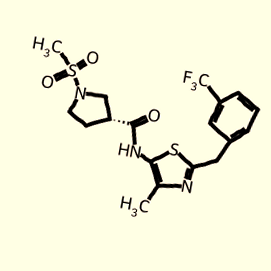 Cc1nc(Cc2cccc(C(F)(F)F)c2)sc1NC(=O)[C@@H]1CCN(S(C)(=O)=O)C1